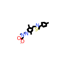 COC(=O)CN(C)/C=N/c1cc(C)c(Cc2nc(-c3ccc(C)cc3)cs2)cc1C